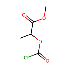 COC(=O)C(C)OC(=O)Cl